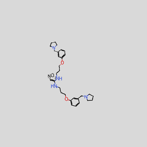 O=[N+]([O-])C=C(NCCCOc1cccc(CN2CCCC2)c1)NCCCOc1cccc(CN2CCCC2)c1